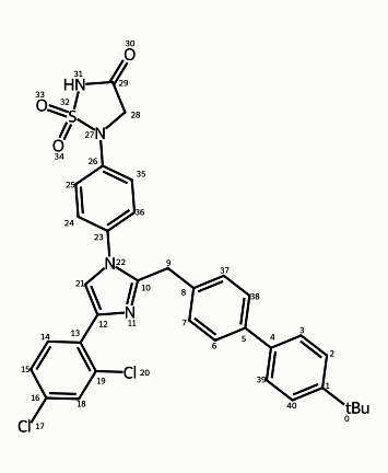 CC(C)(C)c1ccc(-c2ccc(Cc3nc(-c4ccc(Cl)cc4Cl)cn3-c3ccc(N4CC(=O)NS4(=O)=O)cc3)cc2)cc1